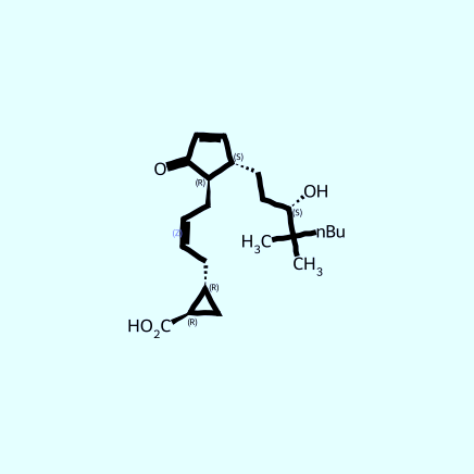 CCCCC(C)(C)[C@@H](O)CC[C@H]1C=CC(=O)[C@@H]1C/C=C\C[C@@H]1C[C@H]1C(=O)O